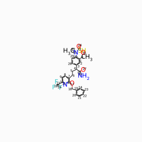 Cc1cc(C(CCc2ccc(C(F)(F)F)nc2OCc2ccccc2)C(N)=O)ccc1N(C)[SH](=O)=O